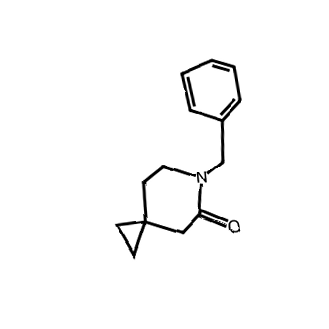 O=C1CC2(CCN1Cc1ccccc1)CC2